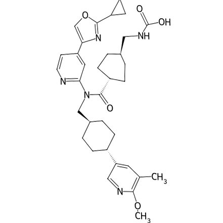 COc1ncc([C@H]2CC[C@H](CN(c3cc(-c4coc(C5CC5)n4)ccn3)C(=O)[C@H]3CC[C@H](CNC(=O)O)CC3)CC2)cc1C